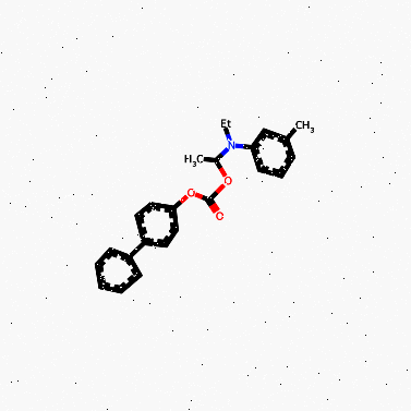 CCN(c1cccc(C)c1)C(C)OC(=O)Oc1ccc(-c2ccccc2)cc1